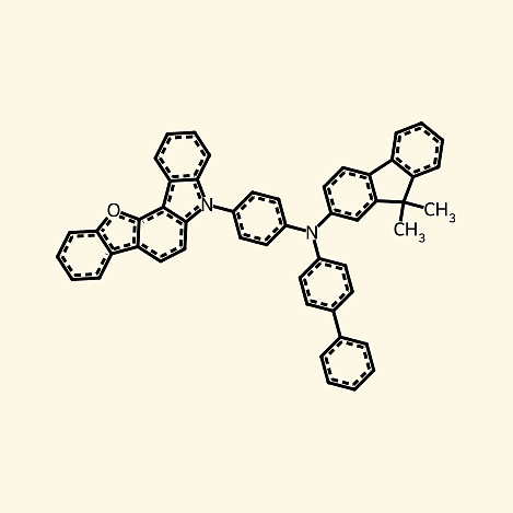 CC1(C)c2ccccc2-c2ccc(N(c3ccc(-c4ccccc4)cc3)c3ccc(-n4c5ccccc5c5c6oc7ccccc7c6ccc54)cc3)cc21